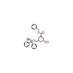 CC(C)(C)[Si](OCC1CC(O)CN(C(=O)OCc2ccccc2)C1)(c1ccccc1)c1ccccc1